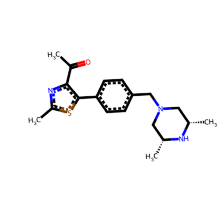 CC(=O)c1nc(C)sc1-c1ccc(CN2C[C@@H](C)N[C@@H](C)C2)cc1